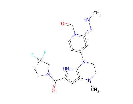 CN/N=c1/cc(N2CCN(C)c3cc(C(=O)N4CCC(F)(F)C4)[nH]c32)ccn1C=O